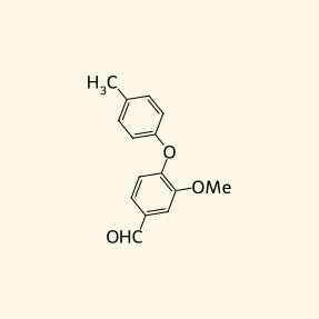 COc1cc(C=O)ccc1Oc1ccc(C)cc1